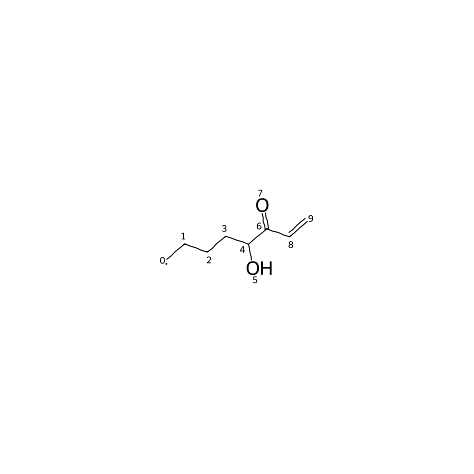 [CH2]CCCC(O)C(=O)C=C